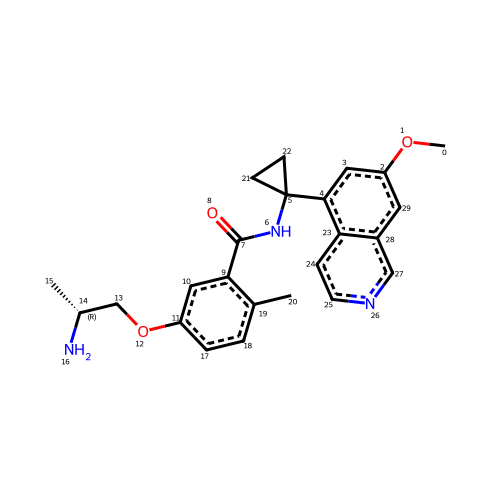 COc1cc(C2(NC(=O)c3cc(OC[C@@H](C)N)ccc3C)CC2)c2ccncc2c1